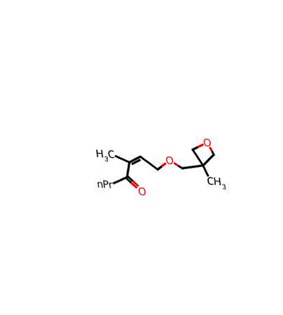 CCCC(=O)C(C)=CCOCC1(C)COC1